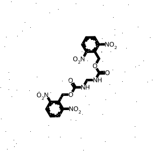 O=C(NCNC(=O)OCc1c([N+](=O)[O-])cccc1[N+](=O)[O-])OCc1c([N+](=O)[O-])cccc1[N+](=O)[O-]